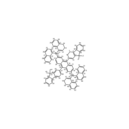 CC1(C)C2=C(CCC(c3c4cc(N(C5=CCCc6ccccc65)c5cccc6ccccc56)ccc4c(-c4ccc5c(c4)C(C)(C)c4ccccc4-5)c4cc(N(C5=CCCc6ccccc65)c5cccc6ccccc56)ccc34)=C2)c2ccccc21